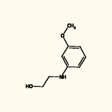 COc1cccc(NCCO)c1